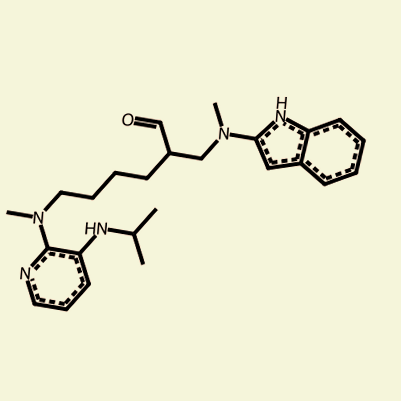 CC(C)Nc1cccnc1N(C)CCCCC(C=O)CN(C)c1cc2ccccc2[nH]1